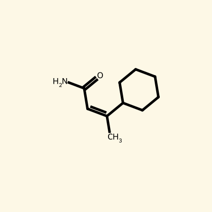 C/C(=C/C(N)=O)C1CCCCC1